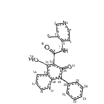 Cc1cnccc1NC(=O)c1c(O)c2cccnc2n(-c2ccccc2)c1=O